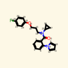 O=C(c1ccccc1-n1cccc1)N(CCCOc1ccc(F)cc1)C1CC1